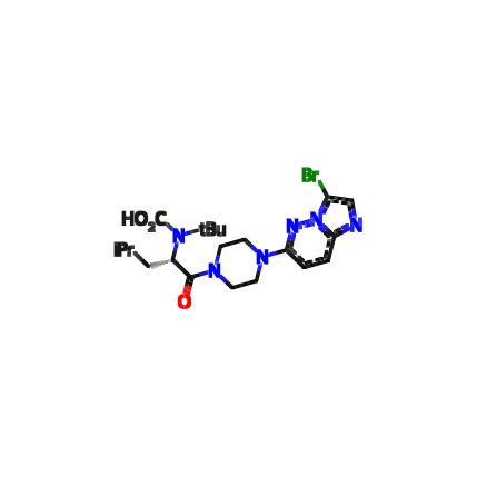 CC(C)C[C@@H](C(=O)N1CCN(c2ccc3ncc(Br)n3n2)CC1)N(C(=O)O)C(C)(C)C